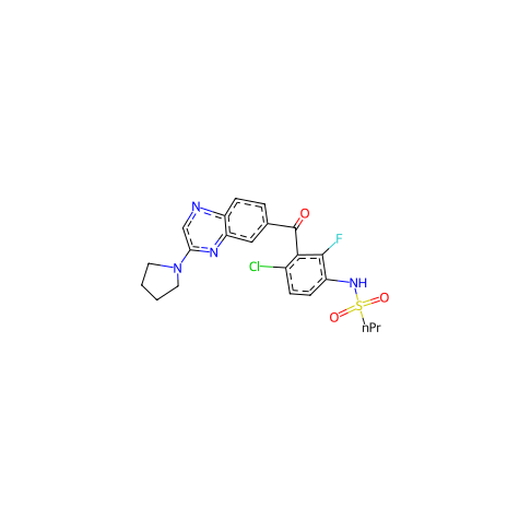 CCCS(=O)(=O)Nc1ccc(Cl)c(C(=O)c2ccc3ncc(N4CCCC4)nc3c2)c1F